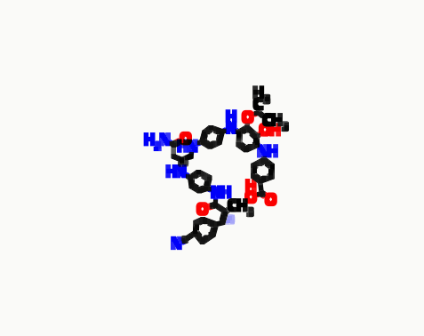 C/C(=C/c1ccc(C#N)cc1)C(=O)Nc1ccc(N[C@H](CNc2ccc(Nc3ccc(Nc4ccc(C(=O)O)cc4)c(O)c3OC(C)C)cc2)CC(N)=O)cc1